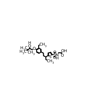 CCc1cc(CCC(CC)c2ccc(S(=O)(=O)NCC(=O)O)s2)ccc1OCC(O)C(C)(C)C